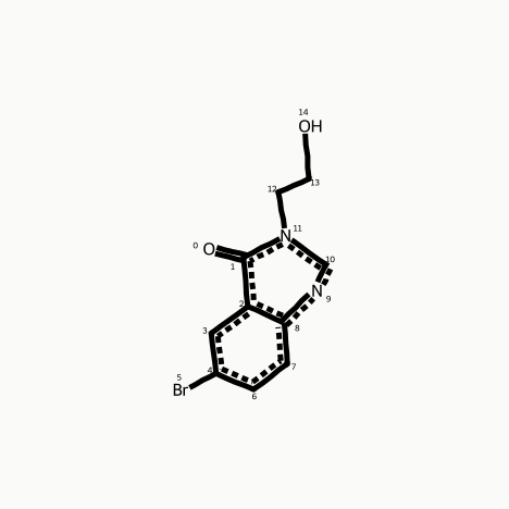 O=c1c2cc(Br)ccc2ncn1CCO